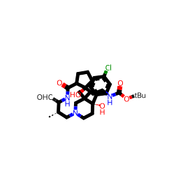 C[C@@H](CN1CC[C@](O)(c2ccc(Cl)cc2)C(C)(C)C1)C(C=O)NC(=O)C1CCCC1(O)CCNC(=O)OC(C)(C)C